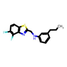 CCCc1cccc(NCc2nc3c(F)c(F)ccc3s2)c1